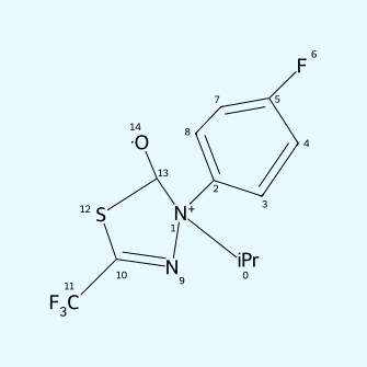 CC(C)[N+]1(c2ccc(F)cc2)N=C(C(F)(F)F)SC1[O]